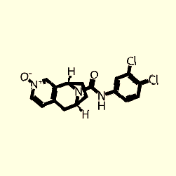 O=C(Nc1ccc(Cl)c(Cl)c1)N1[C@@H]2CC[C@H]1c1c[n+]([O-])ccc1C2